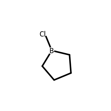 ClB1CCCC1